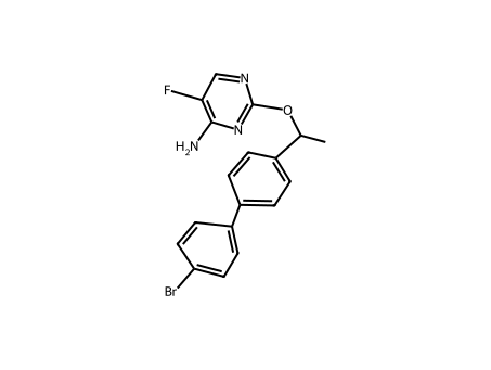 CC(Oc1ncc(F)c(N)n1)c1ccc(-c2ccc(Br)cc2)cc1